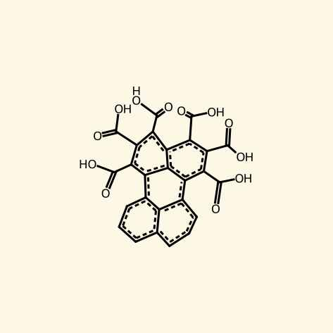 O=C(O)c1c(C(=O)O)c2c(C(=O)O)c(C(=O)O)c(C(=O)O)c3c4cccc5cccc(c(c1C(=O)O)c23)c54